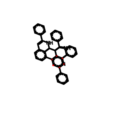 N=C(c1ccccc1)C(c1ccccc1)C1NC(c2ccccc2)=Cc2cccc(-c3cc(-c4ccccc4)nc(-c4ccccc4)c3)c21